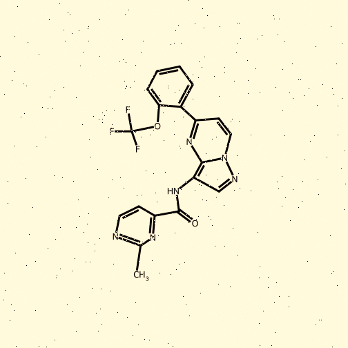 Cc1nccc(C(=O)Nc2cnn3ccc(-c4ccccc4OC(F)(F)F)nc23)n1